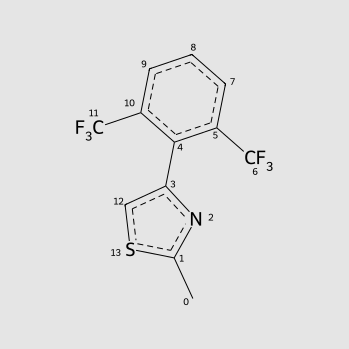 Cc1nc(-c2c(C(F)(F)F)cccc2C(F)(F)F)cs1